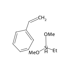 C=Cc1ccccc1.CC[SiH](OC)OC